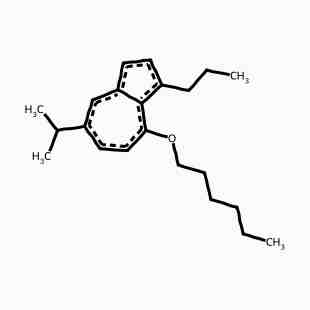 CCCCCCOc1ccc(C(C)C)cc2ccc(CCC)c1-2